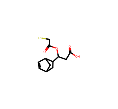 O=C(O)CC(OC(=O)CS)C1CC2C=CC1C2